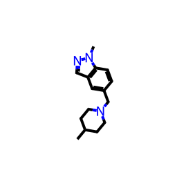 CC1CCN(Cc2ccc3c(cnn3C)c2)CC1